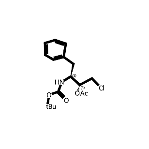 CC(=O)O[C@@H](CCl)[C@H](Cc1ccccc1)NC(=O)OC(C)(C)C